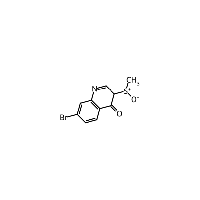 C[S+]([O-])C1C=Nc2cc(Br)ccc2C1=O